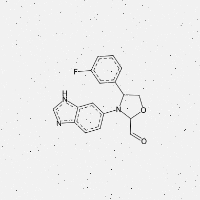 O=CC1OCC(c2cccc(F)c2)N1c1ccc2nc[nH]c2c1